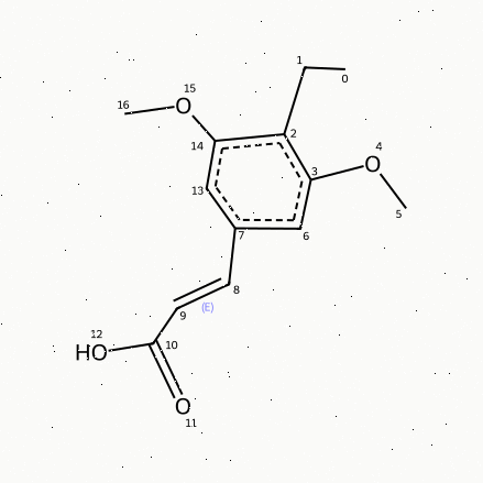 CCc1c(OC)cc(/C=C/C(=O)O)cc1OC